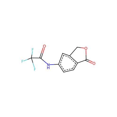 O=C1OCc2cc(NC(=O)C(F)(F)F)ccc21